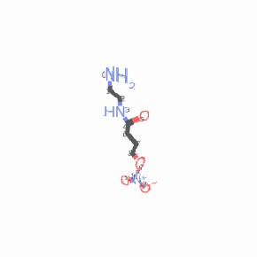 NCCNC(=O)CCCO[N+](=O)[O-]